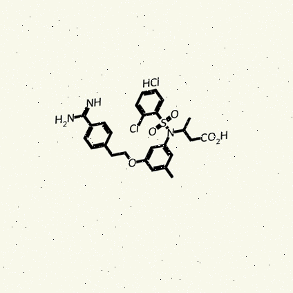 Cc1cc(OCCc2ccc(C(=N)N)cc2)cc(N(C(C)CC(=O)O)S(=O)(=O)c2ccccc2Cl)c1.Cl